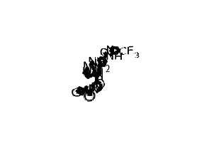 CC1(C(=O)N2CCOC(c3nn(-c4ccc(C(=O)Nc5cc(C(F)(F)F)ccn5)cc4)c4c(N)nccc34)C2)COC1